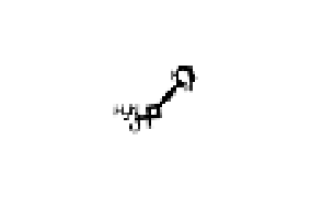 CC1(C(N)=O)CC(C#Cc2ncccn2)C1